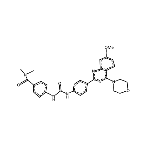 COc1ccc2c(N3CCOCC3)nc(-c3ccc(NC(=O)Nc4ccc(C(=O)N(C)C)cc4)cc3)nc2c1